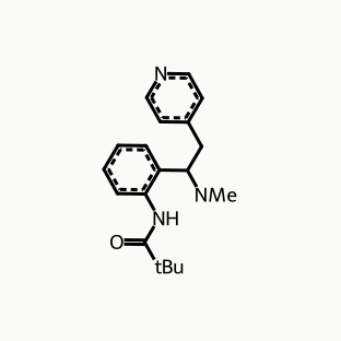 CNC(Cc1ccncc1)c1ccccc1NC(=O)C(C)(C)C